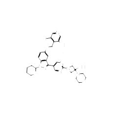 C[C@@H](Oc1ccc2c(c1)c(-c1cnc(N3CC(C)(N4CCOCC4)C3)nc1)nn2C1CCCCO1)c1c(Cl)cncc1Cl